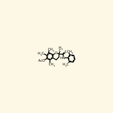 CC(=O)Oc1c(C)c(C)c2c(c1C)CCC(C)(C(=S)Nc1c(C)cccc1C)O2